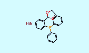 Br.c1ccc(P(c2ccccc2)c2ccccc2C2OCCO2)cc1